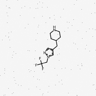 FC(F)(F)Cn1cc(CC2CCNCC2)cn1